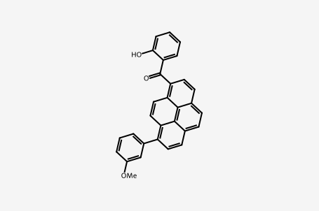 COc1cccc(-c2ccc3ccc4ccc(C(=O)c5ccccc5O)c5ccc2c3c45)c1